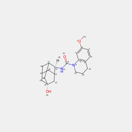 COc1ccc2c(c1)N(C(=O)N[C@H]1C3CC4CC1C[C@](O)(C4)C3)CCC2